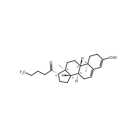 C[C@]12CC[C@H]3[C@@H](CC=C4C=C(C=O)CC[C@@]43C)[C@@H]1CC[C@@H]2C(=O)CCCC(F)(F)F